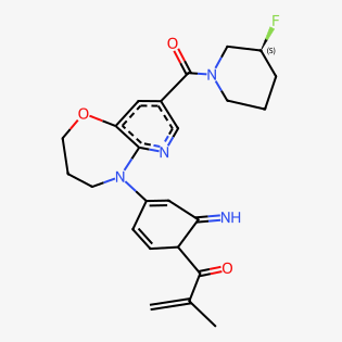 C=C(C)C(=O)C1C=CC(N2CCCOc3cc(C(=O)N4CCC[C@H](F)C4)cnc32)=CC1=N